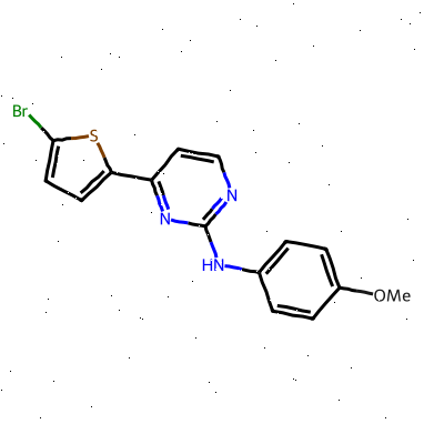 COc1ccc(Nc2nccc(-c3ccc(Br)s3)n2)cc1